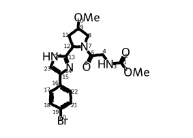 COC(=O)NCC(=O)N1CC(OC)CC1c1nc(-c2ccc(Br)cc2)c[nH]1